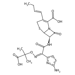 CC/C=C/C1=C(C(=O)O)N2C(=O)[C@@H](NC(=O)/C(=N\OC(C)(C)C(=O)O)c3csc(N)n3)C2SC1